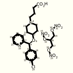 O=C(O)CCCN1CCC(O[C@@H](c2ccc(Cl)cc2)c2ccccn2)CC1.O=[N+]([O-])OCC(CO[N+](=O)[O-])O[N+](=O)[O-]